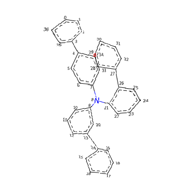 c1ccc(-c2ccc(N(c3cccc(-c4ccccc4)c3)c3ccccc3-c3ccccc3)cc2)cc1